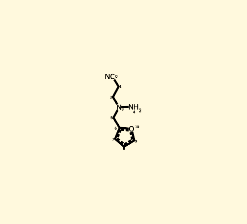 N#CCCN(N)Cc1ccco1